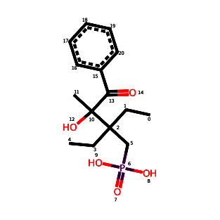 CCC(CC)(CP(=O)(O)O)C(C)(O)C(=O)c1ccccc1